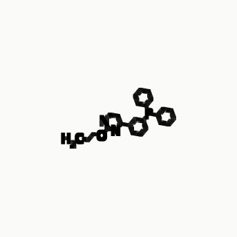 C=CCOc1nccc(-c2cccc(P(c3ccccc3)c3ccccc3)c2)n1